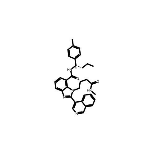 CCC[C@H](NC(=O)c1cccc2nc(-c3cncc4ccccc34)n(CCCC(=O)NC)c12)c1ccc(C)cc1